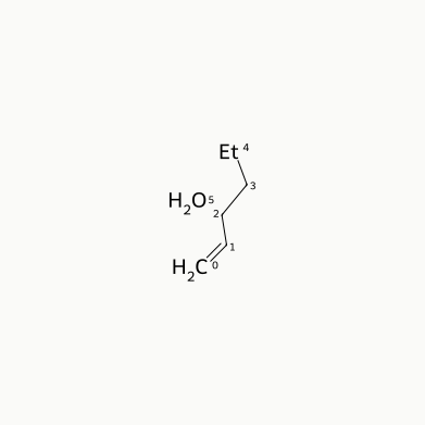 C=CCCCC.O